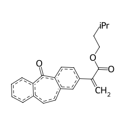 C=C(C(=O)OCCC(C)C)c1ccc2c(=O)c3ccccc3ccc2c1